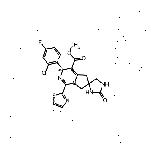 COC(=O)C1=C2CC3(CNC(=O)N3)CN2C(c2nccs2)=N[C@H]1c1ccc(F)cc1Cl